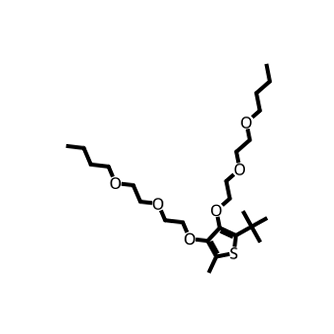 CCCCOCCOCCOc1c(C)sc(C(C)(C)C)c1OCCOCCOCCCC